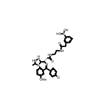 COc1ccc2c(c1)C(c1ccc(Cl)cc1)=N[C@@H](CC(=O)NCCNC(=O)Cc1cccc(B(O)O)c1)C1NNC(C)N21